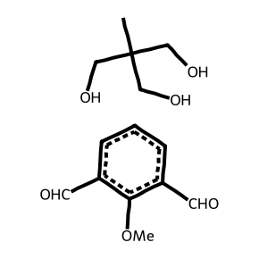 CC(CO)(CO)CO.COc1c(C=O)cccc1C=O